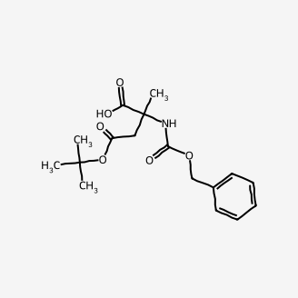 CC(C)(C)OC(=O)CC(C)(NC(=O)OCc1ccccc1)C(=O)O